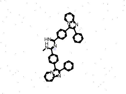 CN/C(=N\C(=N)c1ccc(-c2c(-c3ccccc3)nc3ccccn23)cc1)c1ccc(-c2c(-c3ccccc3)nc3ccccn23)cc1